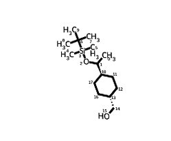 CC(O[Si](C)(C)C(C)(C)C)[C@H]1CC[C@H](CO)CC1